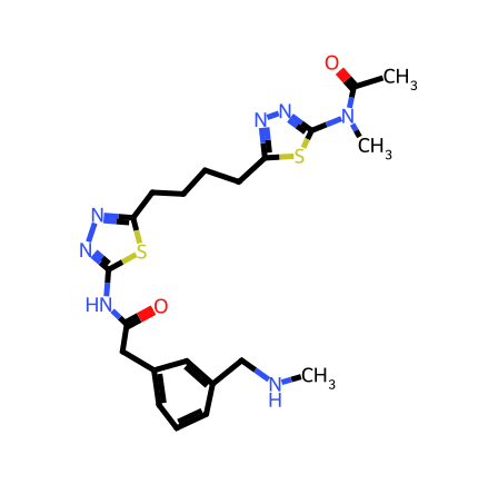 CNCc1cccc(CC(=O)Nc2nnc(CCCCc3nnc(N(C)C(C)=O)s3)s2)c1